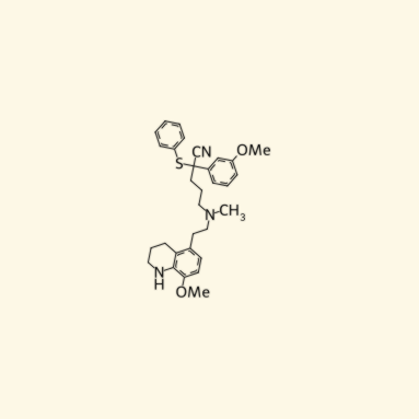 COc1cccc(C(C#N)(CCCN(C)CCc2ccc(OC)c3c2CCCN3)Sc2ccccc2)c1